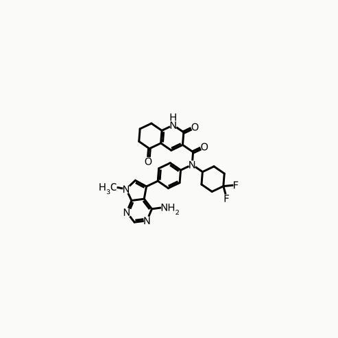 Cn1cc(-c2ccc(N(C(=O)c3cc4c([nH]c3=O)CCCC4=O)C3CCC(F)(F)CC3)cc2)c2c(N)ncnc21